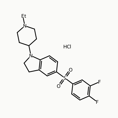 CCN1CCC(N2CCc3cc(S(=O)(=O)c4ccc(F)c(F)c4)ccc32)CC1.Cl